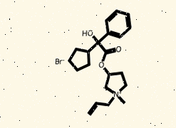 C=CC[N+]1(C)CCC(OC(=O)C(O)(c2ccccc2)C2CCCC2)C1.[Br-]